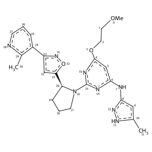 COCCOc1cc(Nc2cc(C)[nH]n2)nc(N2CCC[C@H]2c2cc(-c3cccnc3C)no2)n1